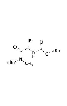 CCCCN(C)C(=O)[C@@H](NC(=O)OC(C)(C)C)C(C)C